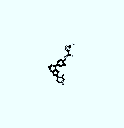 Cc1cc(-c2ncnn3cc(N4CCN(C)CC4C)cc23)ccc1CNC(=O)c1noc(C(C)(C)C)n1